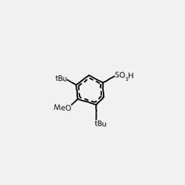 COc1c(C(C)(C)C)cc(S(=O)(=O)O)cc1C(C)(C)C